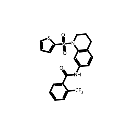 O=C(Nc1ccc2c(c1)N(S(=O)(=O)c1cccs1)CCC2)c1ccccc1C(F)(F)F